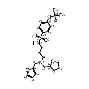 O=S(=O)(NCCCN(Cc1ccco1)C[C@@H]1CCCO1)c1ccc(OC(F)(F)F)cc1